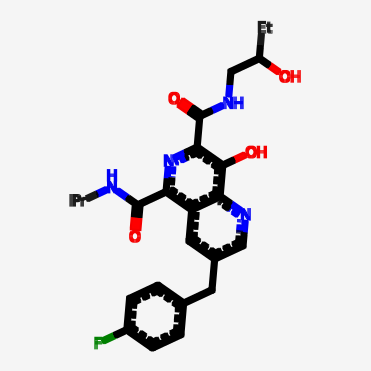 CCC(O)CNC(=O)c1nc(C(=O)NC(C)C)c2cc(Cc3ccc(F)cc3)cnc2c1O